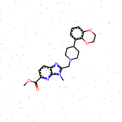 COC(=O)c1ccc2nc(CN3CCC(c4cccc5c4OCCO5)CC3)n(C)c2n1